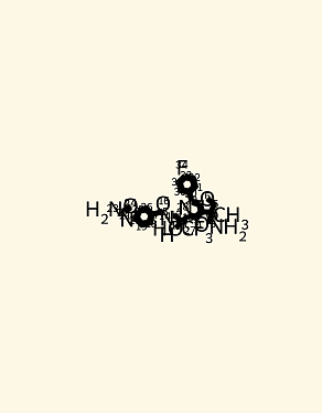 C[C@]1(C(N)=O)COc2c1cc([C@@](O)(CNC(=O)c1ccc3nc(N)oc3c1)C(F)(F)F)nc2-c1ccc(F)cc1